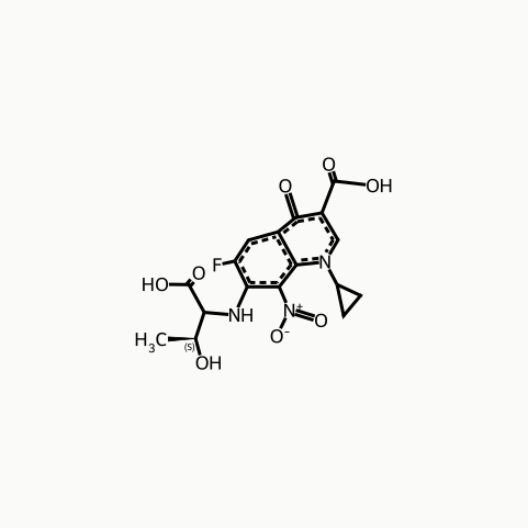 C[C@H](O)C(Nc1c(F)cc2c(=O)c(C(=O)O)cn(C3CC3)c2c1[N+](=O)[O-])C(=O)O